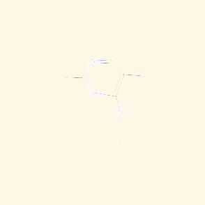 CPNc1nc(Cl)ncc1I